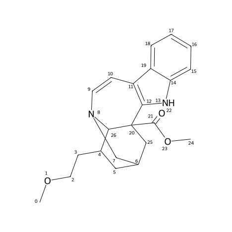 COCCC1CC2CN3C=Cc4c([nH]c5ccccc45)C(C(=O)OC)(C2)C13